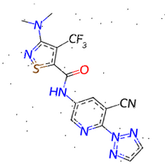 CN(C)c1nsc(C(=O)Nc2cnc(-n3nccn3)c(C#N)c2)c1C(F)(F)F